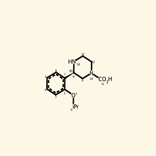 CC(C)Oc1ccccc1[C@@H]1CN(C(=O)O)CCN1